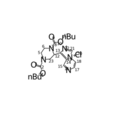 CCCCOC(=O)N1CCN(C(=O)OCCCC)C(C2=C3C=NC=C[N+]3(Cl)C=N2)C1